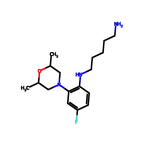 CC1CN(c2cc(F)ccc2NCCCCCN)CC(C)O1